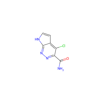 NC(=O)c1nnc2[nH]ccc2c1Cl